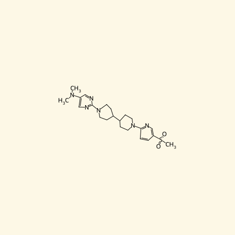 CN(C)c1cnc(N2CCC(C3CCN(c4ccc(S(C)(=O)=O)cn4)CC3)CC2)nc1